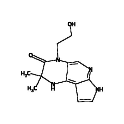 CC1(C)Nc2c(cnc3[nH]ccc23)N(CCO)C1=O